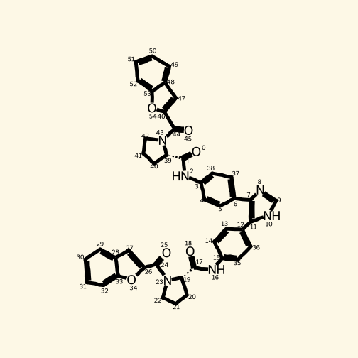 O=C(Nc1ccc(-c2nc[nH]c2-c2ccc(NC(=O)[C@@H]3CCCN3C(=O)c3cc4ccccc4o3)cc2)cc1)[C@@H]1CCCN1C(=O)c1cc2ccccc2o1